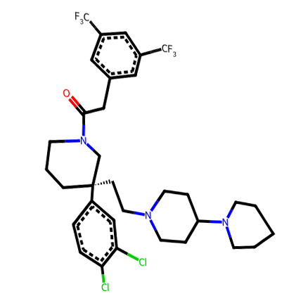 O=C(Cc1cc(C(F)(F)F)cc(C(F)(F)F)c1)N1CCC[C@](CCN2CCC(N3CCCCC3)CC2)(c2ccc(Cl)c(Cl)c2)C1